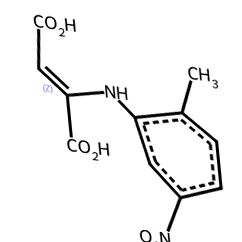 Cc1ccc([N+](=O)[O-])cc1N/C(=C\C(=O)O)C(=O)O